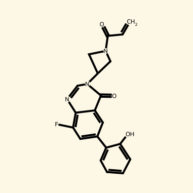 C=CC(=O)N1CC(n2cnc3c(F)cc(-c4ccccc4O)cc3c2=O)C1